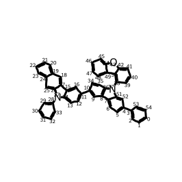 c1ccc(-c2ccc3c4cc(-c5ccc6c(c5)c5cc7ccccc7cc5n6-c5ccccc5)ccc4n(-c4cccc5oc6ccccc6c45)c3c2)cc1